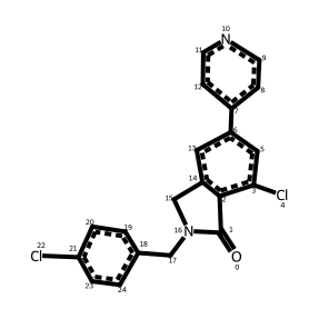 O=C1c2c(Cl)cc(-c3ccncc3)cc2CN1Cc1ccc(Cl)cc1